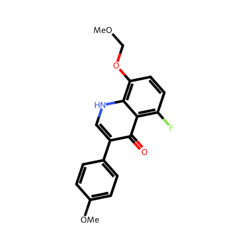 COCOc1ccc(F)c2c(=O)c(-c3ccc(OC)cc3)c[nH]c12